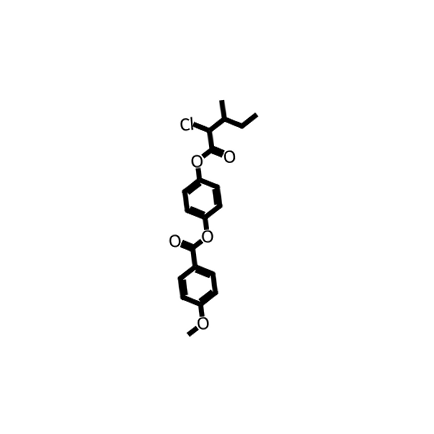 CCC(C)C(Cl)C(=O)Oc1ccc(OC(=O)c2ccc(OC)cc2)cc1